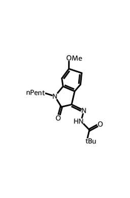 CCCCCN1C(=O)/C(=N\NC(=O)C(C)(C)C)c2ccc(OC)cc21